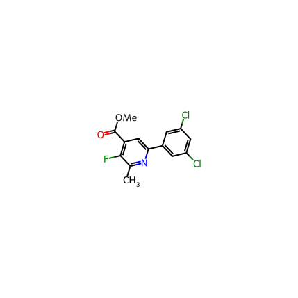 COC(=O)c1cc(-c2cc(Cl)cc(Cl)c2)nc(C)c1F